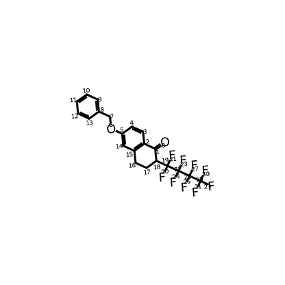 O=C1c2ccc(OCc3ccccc3)cc2CCC1C(F)(F)C(F)(F)C(F)(F)C(F)(F)F